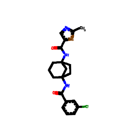 Cc1ncc(C(=O)NC23CCCC(NC(=O)c4cccc(Cl)c4)(CC2)C3)s1